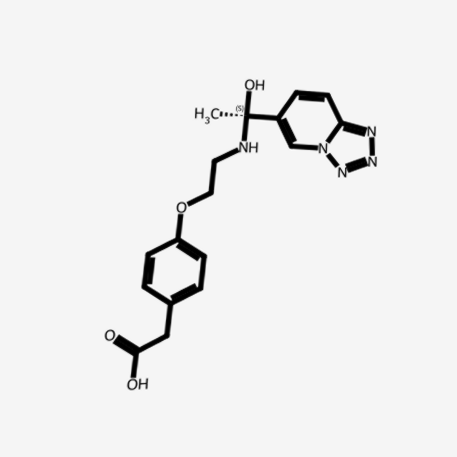 C[C@@](O)(NCCOc1ccc(CC(=O)O)cc1)c1ccc2nnnn2c1